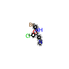 O=C(/C=C(\c1ccc(Cl)cc1)c1ccc(CN2CCCC2)cc1)Nc1ccc(Br)cc1